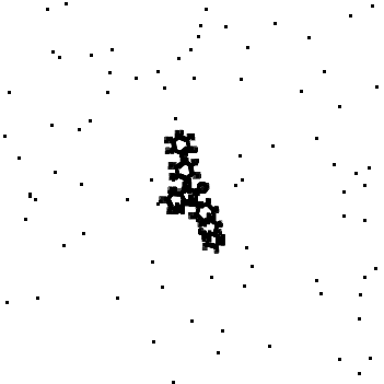 Cn1ccnc1CN1CCC(n2c(=O)n(-c3ccc(-c4ccccc4)cc3)c3cccnc32)CC1